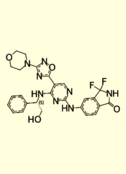 O=C1NC(F)(F)c2cc(Nc3ncc(-c4nc(N5CCOCC5)no4)c(N[C@H](CO)c4ccccc4)n3)ccc21